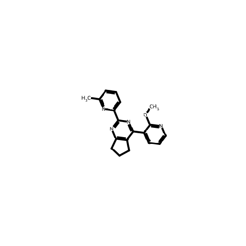 COc1ncccc1-c1nc(-c2cccc(C)n2)nc2c1CCC2